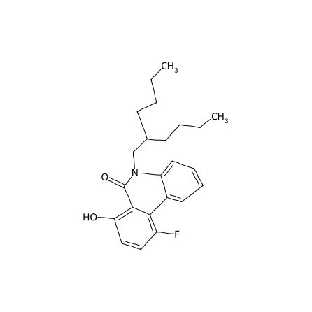 CCCCC(CCCC)Cn1c(=O)c2c(O)ccc(F)c2c2ccccc21